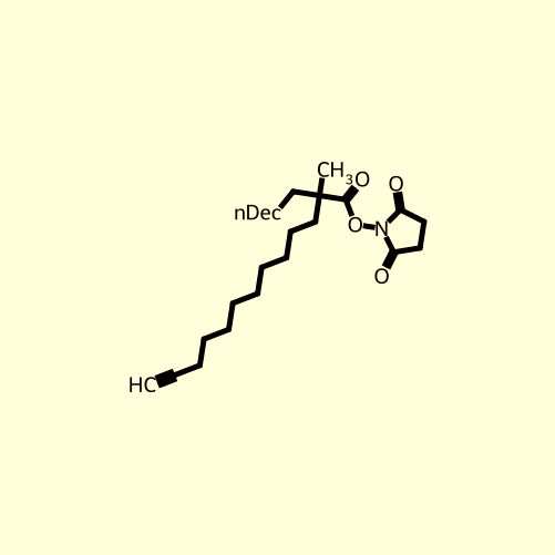 C#CCCCCCCCCCC(C)(CCCCCCCCCCC)C(=O)ON1C(=O)CCC1=O